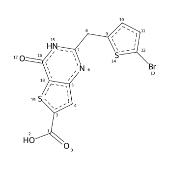 O=C(O)c1cc2nc(Cc3ccc(Br)s3)[nH]c(=O)c2s1